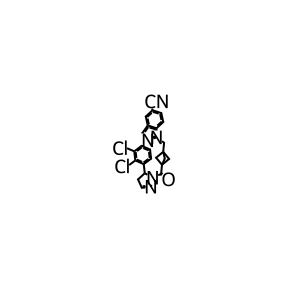 N#Cc1ccc2c(cnn2CC23CC(C(=O)N4N=CCC4c4cccc(Cl)c4Cl)(C2)C3)c1